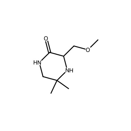 COCC1NC(C)(C)CNC1=O